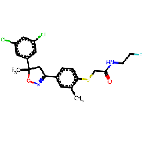 Cc1cc(C2=NOC(c3cc(Cl)cc(Cl)c3)(C(F)(F)F)C2)ccc1SCC(=O)NCCF